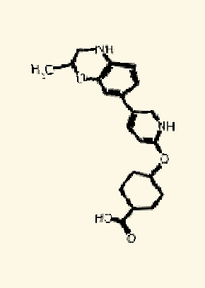 CC1CNc2ccc(C3=CC=C(OC4CCC(C(=O)O)CC4)NC3)cc2O1